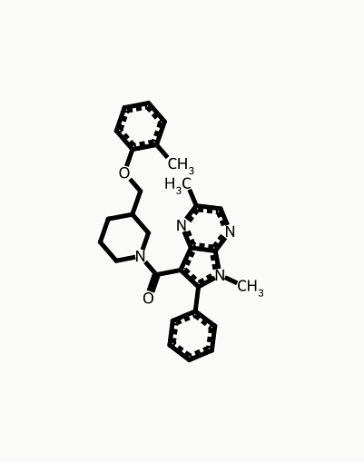 Cc1cnc2c(n1)c(C(=O)N1CCCC(COc3ccccc3C)C1)c(-c1ccccc1)n2C